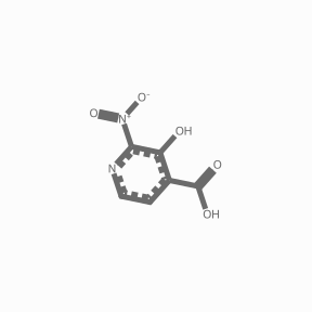 O=C(O)c1ccnc([N+](=O)[O-])c1O